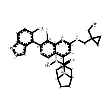 Cc1ccc2[nH]ncc2c1-c1ncc2c(N3CC4CCC(C3)N4C(=O)OC(C)(C)C)nc(OCC3(CO)CC3)nc2c1F